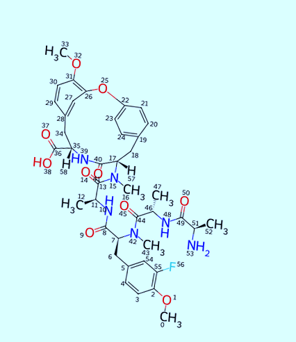 COc1ccc(C[C@@H](C(=O)N[C@@H](C)C(=O)N(C)[C@H]2Cc3ccc(cc3)Oc3cc(ccc3OC)C[C@@H](C(=O)O)NC2=O)N(C)C(=O)[C@H](C)NC(=O)[C@@H](C)N)cc1F